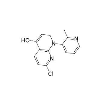 Cc1ncccc1N1CC=C(O)c2ccc(Cl)nc21